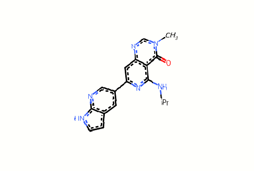 CC(C)Nc1nc(-c2cnc3[nH]ccc3c2)cc2ncn(C)c(=O)c12